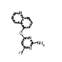 Nc1nc(Cl)cc(Oc2cccc3ncccc23)n1